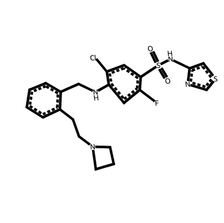 O=S(=O)(Nc1cscn1)c1cc(Cl)c(NCc2ccccc2CCN2CCC2)cc1F